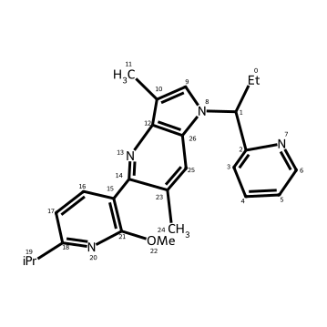 CCC(c1ccccn1)n1cc(C)c2nc(-c3ccc(C(C)C)nc3OC)c(C)cc21